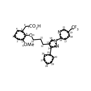 COc1cccc(CC(=O)O)c1OCCCc1cn(-c2ccc(C(F)(F)F)cn2)nc1-c1ccccc1